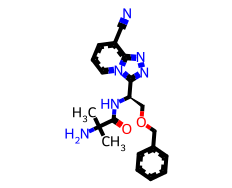 CC(C)(N)C(=O)N[C@H](COCc1ccccc1)c1nnc2c(C#N)cccn12